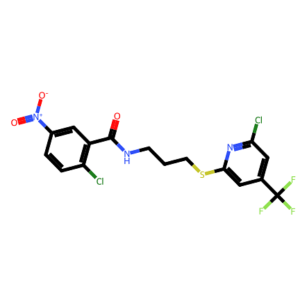 O=C(NCCCSc1cc(C(F)(F)F)cc(Cl)n1)c1cc([N+](=O)[O-])ccc1Cl